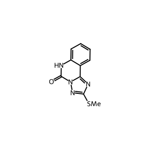 CSc1nc2c3ccccc3[nH]c(=O)n2n1